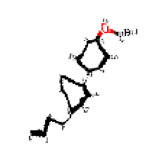 C=CCC[C@H]1CC[C@H](C2CCC(OCCCC)CC2)CC1